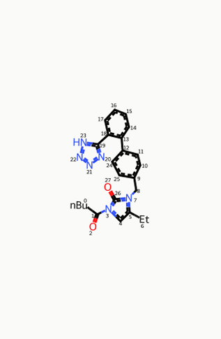 CCCCC(=O)n1cc(CC)n(Cc2ccc(-c3ccccc3-c3nnn[nH]3)cc2)c1=O